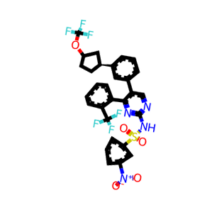 O=[N+]([O-])c1cccc(S(=O)(=O)Nc2ncc(-c3cccc([C@H]4CCC(OC(F)(F)F)C4)c3)c(-c3ccccc3C(F)(F)F)n2)c1